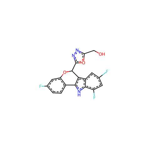 OCc1nnc(C2Oc3cc(F)ccc3-c3[nH]c4c(F)cc(F)cc4c32)o1